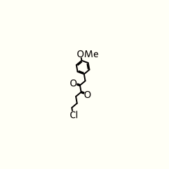 COc1ccc(CC(=O)C(=O)CCCCl)cc1